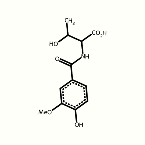 COc1cc(C(=O)NC(C(=O)O)C(C)O)ccc1O